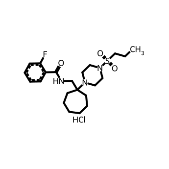 CCCS(=O)(=O)N1CCN(C2(CNC(=O)c3ccccc3F)CCCCCC2)CC1.Cl